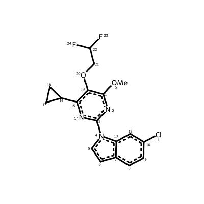 COc1nc(-n2ccc3ccc(Cl)cc32)nc(C2CC2)c1OCC(F)F